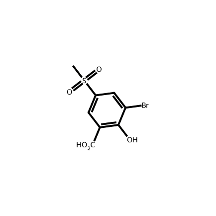 CS(=O)(=O)c1cc(Br)c(O)c(C(=O)O)c1